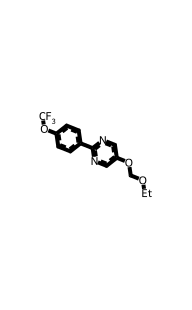 CCOCOc1cnc(-c2ccc(OC(F)(F)F)cc2)nc1